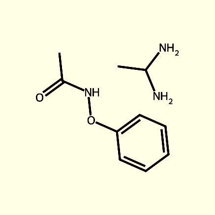 CC(=O)NOc1ccccc1.CC(N)N